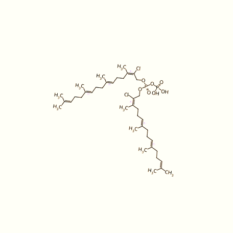 CC(C)=CCC/C(C)=C/CC/C(C)=C/CC/C(C)=C(/Cl)COP(=O)(OC/C(Cl)=C(/C)CC/C=C(\C)CC/C=C(\C)CCC=C(C)C)OP(=O)(O)O